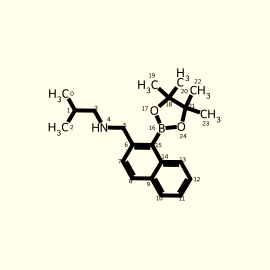 CC(C)CNCc1ccc2ccccc2c1B1OC(C)(C)C(C)(C)O1